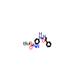 CC(C)(C)OC(=O)n1cnc2cc(Nc3ncc(-c4ccccc4)o3)ccc21